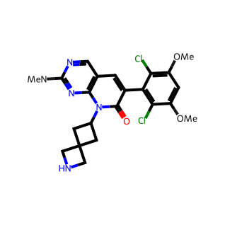 CNc1ncc2cc(-c3c(Cl)c(OC)cc(OC)c3Cl)c(=O)n(C3CC4(CNC4)C3)c2n1